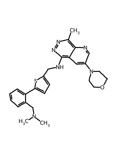 Cc1nnc(NCc2ccc(-c3ccccc3CN(C)C)s2)c2cc(N3CCOCC3)cnc12